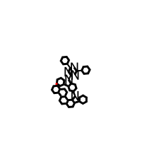 c1ccc(-c2nc(-c3ccccc3)nc(-n3c4ccccc4c4cc(-n5c6ccccc6c6ccc7ccc8c9ccccc9ccc8c7c65)ccc43)n2)cc1